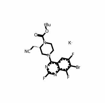 CC(C)(C)OC(=O)N1CCN(c2nc(F)nc3c(F)c(Br)c(F)cc23)C[C@@H]1CC#N.[K]